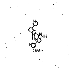 COc1cncc(-c2ccc3[nH]nc(-c4cc5c(-c6cccnc6)cccc5[nH]4)c3n2)c1